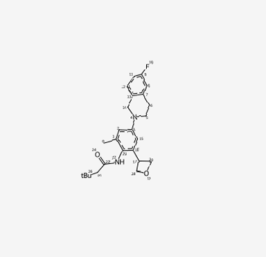 Cc1cc(N2CCc3cc(F)ccc3C2)cc(C2COC2)c1NC(=O)CC(C)(C)C